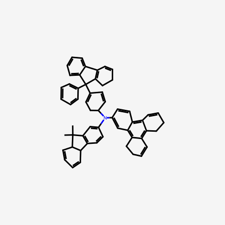 CC1(C)c2cc(N(c3ccc4c5c(c6c(c4c3)CCC=C6)CCC=C5)C3C=CC(C4(c5ccccc5)C5=C(C=CCC5)c5ccccc54)=CC3)ccc2C2C=CC=CC21